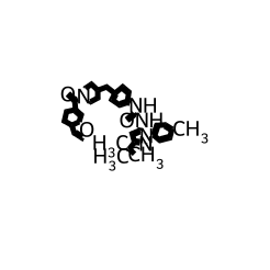 Cc1ccc(-n2nc(C(C)(C)C)cc2NC(=O)Nc2ccc(CC3CCN(C(=O)C4=CC5OC=CC5CC4)CC3)cc2)cc1